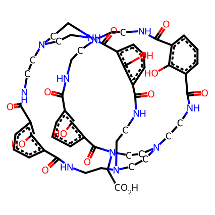 O=C(O)CN1CCN2CCNC(=O)c3cccc(c3O)C(=O)NCCN(CCNC(=O)c3cccc(c3O)C1=O)CCN1CCNC(=O)c3cccc(c3O)C(=O)NCCN(CCNC(=O)c3cccc(c3O)C(=O)NCC1)CC2